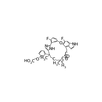 CC1(C)CCCC(C)(c2cccc(OCC(=O)O)c2)c2cnc([nH]2)-c2cc(ccc2F)Oc2c(F)cc3[nH]ccc3c2CCS(=O)(=O)C1